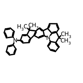 CC1(C)c2cc(N(c3ccccc3)c3ccccc3)ccc2-c2cc3c(cc21)c1cccc2c1n3-c1ccccc1C2(C)C